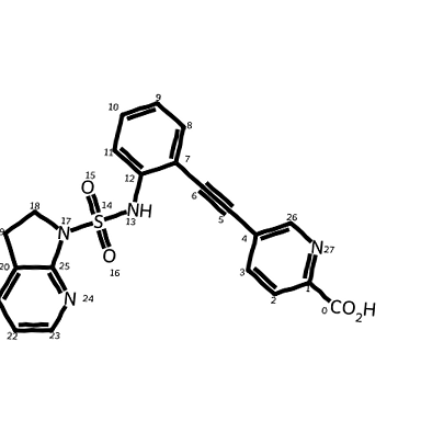 O=C(O)c1ccc(C#Cc2ccccc2NS(=O)(=O)N2CCc3cccnc32)cn1